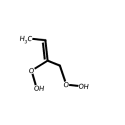 CC=C(COO)OO